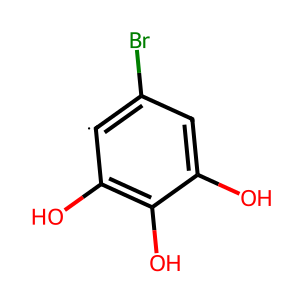 Oc1[c]c(Br)cc(O)c1O